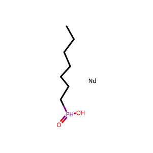 CCCCCCC[PH](=O)O.[Nd]